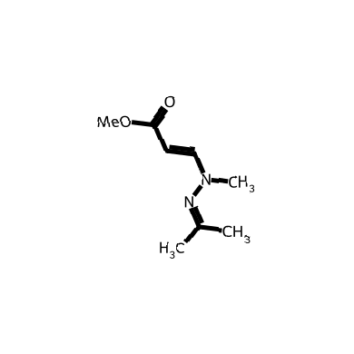 COC(=O)C=CN(C)N=C(C)C